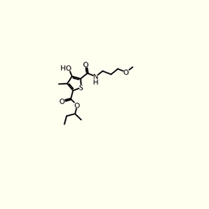 CCC(C)OC(=O)c1sc(C(=O)NCCCOC)c(O)c1C